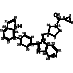 O=C(C1CC1)N1CC[C@@H](Cn2c(-c3ccc(-c4cccc5cc[nH]c45)cc3)nc3cnccc32)C1